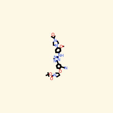 COc1cc(Nc2ncnc(-c3ccc(OC4CCN(C(=O)OC(C)(C)C)C4)c(C#N)c3)n2)ccc1N1CCN(C2COC2)CC1